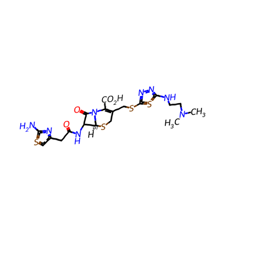 CN(C)CCNc1nnc(SCC2=C(C(=O)O)N3C(=O)C(NC(=O)Cc4csc(N)n4)[C@@H]3SC2)s1